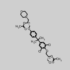 CC(=O)O[C@H](CCl)COc1c(Cl)cc(C(C)(C)c2ccc(OC[C@@H](CN3CCOCC3)OC(C)=O)cc2)cc1Cl